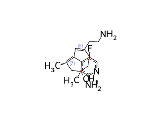 C/C1=C(c2cc(N)ncc2F)\C=C(\CCN)CCC(C)(C)C1